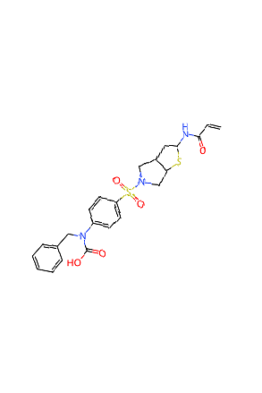 C=CC(=O)NC1CC2CN(S(=O)(=O)c3ccc(N(Cc4ccccc4)C(=O)O)cc3)CC2S1